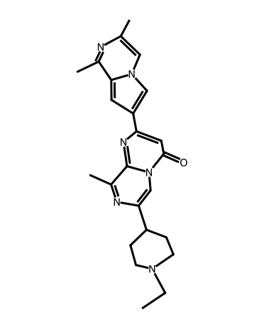 CCN1CCC(c2cn3c(=O)cc(-c4cc5c(C)nc(C)cn5c4)nc3c(C)n2)CC1